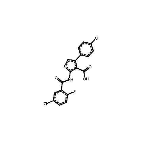 O=C(Nc1scc(-c2ccc(Cl)cc2)c1C(=O)O)c1cc(Cl)ccc1F